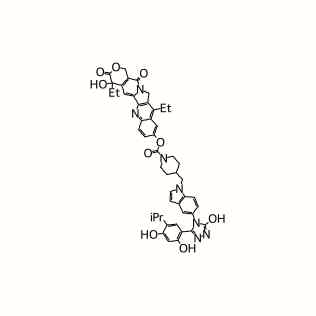 CCc1c2c(nc3ccc(OC(=O)N4CCC(Cn5ccc6cc(-n7c(O)nnc7-c7cc(C(C)C)c(O)cc7O)ccc65)CC4)cc13)-c1cc3c(c(=O)n1C2)COC(=O)C3(O)CC